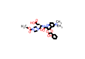 CCOC(=O)N1CCN(C(=O)[C@H](CCC(=O)O)NC(=O)c2cc(OC(C(=O)O)c3ccccc3)c3cc(N(C)C)ccc3n2)CC1